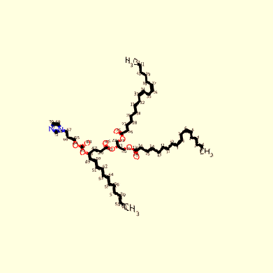 CCCCC/C=C\C/C=C\CCCCCCCC(=O)OCC(COC(=O)CCCCCCC/C=C\C/C=C\CCCCC)OC(=O)CCC(CCCCCCCCCCCC)OC(=O)OCCCn1ccnc1